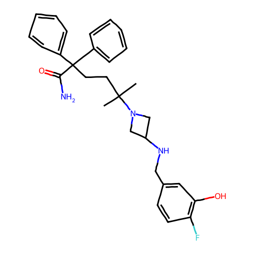 CC(C)(CCC(C(N)=O)(c1ccccc1)c1ccccc1)N1CC(NCc2ccc(F)c(O)c2)C1